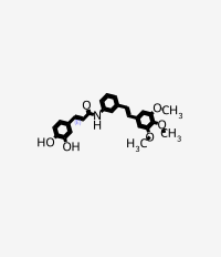 COc1cc(C=Cc2cccc(NC(=O)/C=C/c3ccc(O)c(O)c3)c2)cc(OC)c1OC